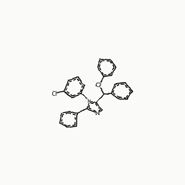 Clc1cccc(-n2c(C(Oc3ccccc3)c3ccccc3)cnc2-c2ccccc2)c1